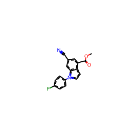 COC(=O)c1cc(C#N)cc2c1ccn2-c1ccc(F)cc1